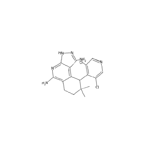 CC1(C)CCc2c(N)nc3[nH]nc(N)c3c2C1c1c(Cl)cncc1Cl